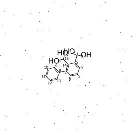 OC(O)c1cccc(-c2ccccc2)c1C(O)O